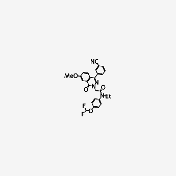 CCN(C(=O)Cn1nc(-c2cccc(C#N)c2)c2ccc(OC)cc2c1=O)c1ccc(OC(F)F)cc1